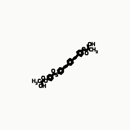 C=C(CO)C(=O)Oc1ccc(C#Cc2ccc(C#Cc3ccc(SC(=O)c4ccc(OC(=O)C(=C)CO)cc4)cc3)cc2)cc1